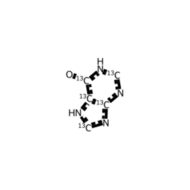 O=[13c]1[nH][13cH]n[13c]2n[13cH][nH][13c]12